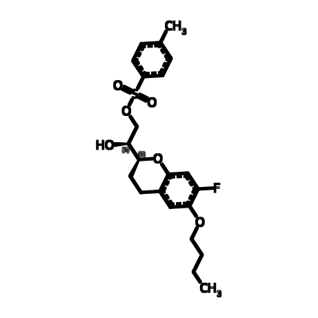 CCCCOc1cc2c(cc1F)O[C@H]([C@@H](O)COS(=O)(=O)c1ccc(C)cc1)CC2